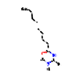 CCCCCCCCCCCCCCCCCC(=O)NC(CC)N(CC)CC